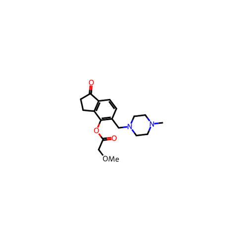 COCC(=O)Oc1c(CN2CCN(C)CC2)ccc2c1CCC2=O